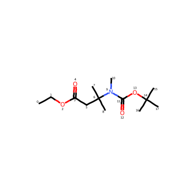 CCOC(=O)CC(C)(C)N(C)C(=O)OC(C)(C)C